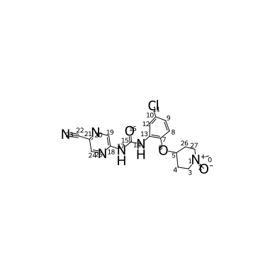 C[N+]1([O-])CCC(Oc2ccc(Cl)cc2NC(=O)Nc2cnc(C#N)cn2)CC1